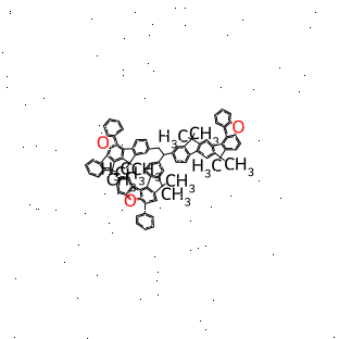 CC1(C)c2cc(C(Cc3ccc4c(c3)C(C)(C)c3c5c(c6oc7ccccc7c6c3-4)-c3ccccc3C5(C)C)c3ccc4c(c3)C(C)(C)c3cc(-c5ccccc5)c5oc6ccccc6c5c3-4)ccc2-c2cc3c(cc21)-c1c(ccc2oc4ccccc4c12)C3(C)C